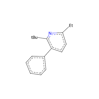 CCc1ccc(-c2ccccc2)c(C(C)(C)C)n1